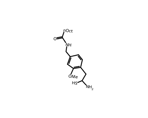 CCCCCCCCC(=O)NCc1ccc(CC(N)S)c(OC)c1